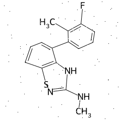 CNC1=NSc2cccc(-c3cccc(F)c3C)c2N1